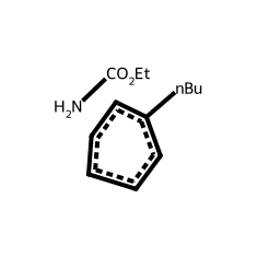 CCCCc1ccccc1.CCOC(N)=O